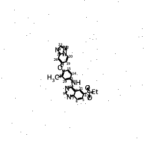 CCS(=O)(=O)c1ccc2ncnc(Nc3ccc(Oc4ccn5ncnc5c4)c(C)c3)c2c1